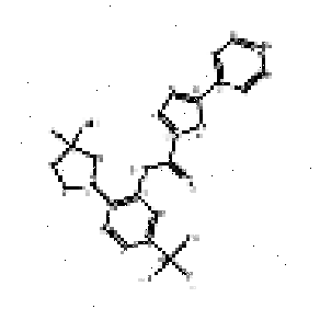 CC1(O)CCN(c2ccc(C(F)(F)F)cc2NC(=O)c2ccc(-c3ccncc3)o2)C1